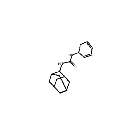 O=C(NC1C=CC=CC1)NC1C2CC3CC(C2)CC1C3